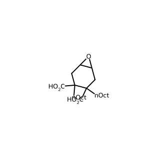 CCCCCCCCC1(C(=O)O)CC2OC2CC1(CCCCCCCC)C(=O)O